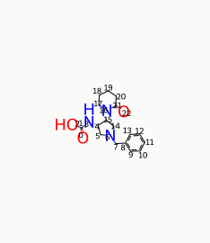 O=C(O)N[C@H]1CN(Cc2ccccc2)C[C@H]1N1CCCCC1=O